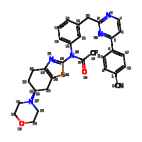 N#Cc1ccc(-c2ccnc(Cc3cccc(N(C(=O)C(F)(F)F)c4nc5c(s4)C[C@@H](N4CCOCC4)CC5)c3)n2)cc1